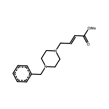 COC(=O)C=CCN1CCN(Cc2ccccc2)CC1